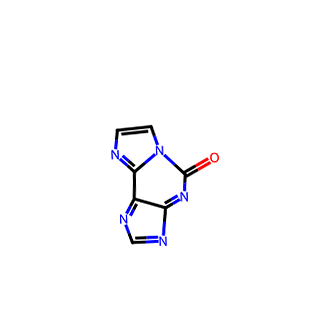 O=c1nc2c(c3nccn13)=NC=N2